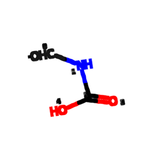 O=[C]NC(=O)O